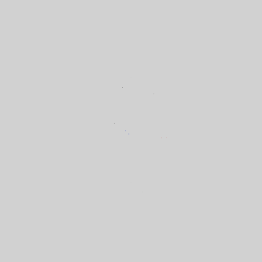 O=C1CC2CCC1C1C(=O)N(c3ccc(Cl)c(Cl)c3)C(=O)C21